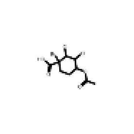 CC(=O)OC1CCC(Br)(C(=O)O)C(Cl)C1Cl